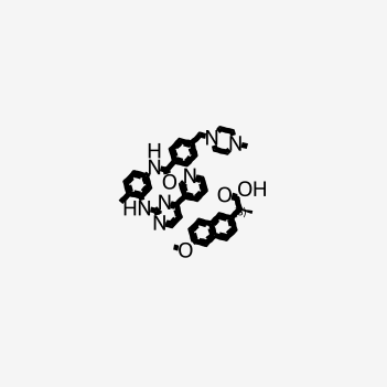 COc1ccc2cc([C@H](C)C(=O)O)ccc2c1.Cc1ccc(NC(=O)c2ccc(CN3CCN(C)CC3)cc2)cc1Nc1nccc(-c2cccnc2)n1